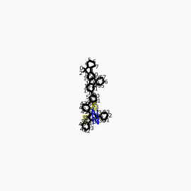 CC1(C)c2ccccc2-c2cc3c(cc21)-c1ccc(-c2ccc4sc5c(-c6nc(-c7ccccc7)nc7c6sc6ccccc67)cccc5c4c2)cc1C31CCCCC1